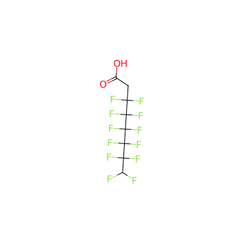 O=C(O)CC(F)(F)C(F)(F)C(F)(F)C(F)(F)C(F)(F)C(F)F